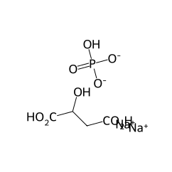 O=C(O)CC(O)C(=O)O.O=P([O-])([O-])O.[Na+].[Na+]